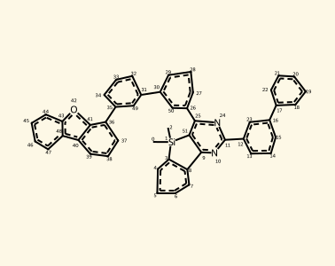 C[Si]1(C)c2ccccc2-c2nc(-c3cccc(-c4ccccc4)c3)nc(-c3cccc(-c4cccc(-c5cccc6c5oc5ccccc56)c4)c3)c21